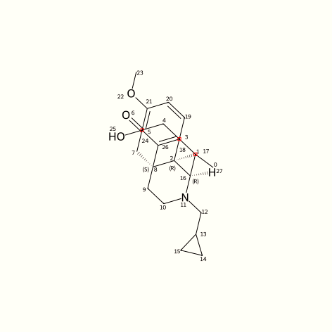 CC[C@@]12CCC(=O)C[C@@]13CCN(CC1CC1)[C@@H]2Cc1ccc(OC)c(O)c13